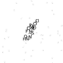 Cc1nc(C(C)N(c2cc(F)ccc2F)S(=O)(=O)c2ccc(Cl)cc2)sc1CN1CCNC(=O)C1